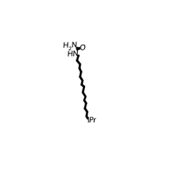 CC(C)CCCCCCCCCCCCCCCCNC(N)=O